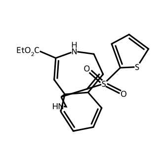 CCOC(=O)C1=CC23C(=CCN1)C=CC=C2NCC3S(=O)(=O)c1cccs1